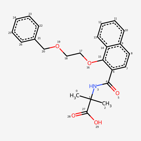 CC(C)(NC(=O)c1ccc2ccccc2c1OCCOCc1ccccc1)C(=O)O